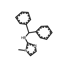 Cn1ccnc1BC(c1ccccc1)c1ccccc1